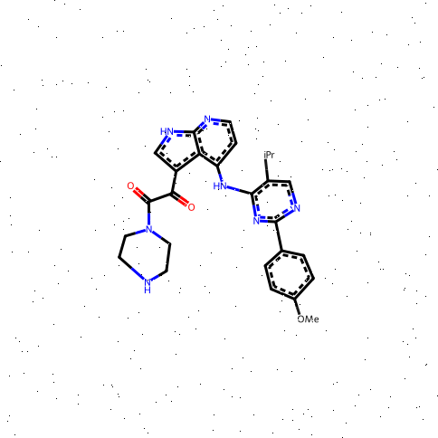 COc1ccc(-c2ncc(C(C)C)c(Nc3ccnc4[nH]cc(C(=O)C(=O)N5CCNCC5)c34)n2)cc1